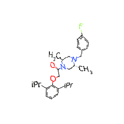 CC(C)c1cccc(C(C)C)c1OCC(=O)N1C[C@@H](C)N(Cc2ccc(F)cc2)C[C@@H]1C